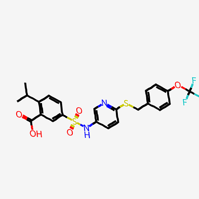 CC(C)c1ccc(S(=O)(=O)Nc2ccc(SCc3ccc(OC(F)(F)F)cc3)nc2)cc1C(=O)O